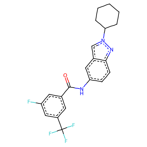 O=C(Nc1ccc2nn(C3CCCCC3)cc2c1)c1cc(F)cc(C(F)(F)F)c1